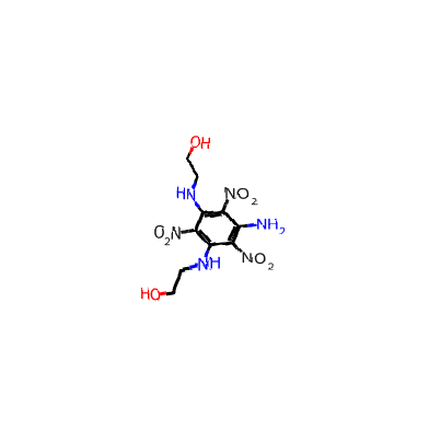 Nc1c([N+](=O)[O-])c(NCCO)c([N+](=O)[O-])c(NCCO)c1[N+](=O)[O-]